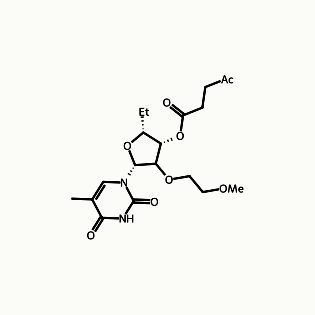 CC[C@H]1O[C@@H](n2cc(C)c(=O)[nH]c2=O)C(OCCOC)[C@H]1OC(=O)CCC(C)=O